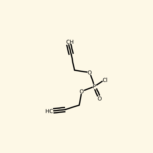 C#CCOP(=O)(Cl)OCC#C